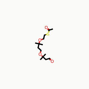 CC(=O)SCCOC(C)(C)CCOC(C)(C)CC=O